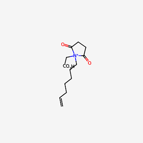 C=CCCCCC[N+]1(CC(=O)O)C(=O)CCC1=O